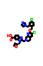 O=C(O)c1ccc2nc(CN3CCc4cc(Cl)c(OCc5ccc(Cl)cc5Cn5ccnc5)nc4C3)n(C[C@@H]3CCO3)c2c1